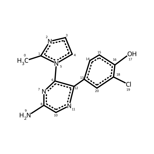 Cc1nccn1-c1nc(N)cnc1-c1ccc(O)c(Cl)c1